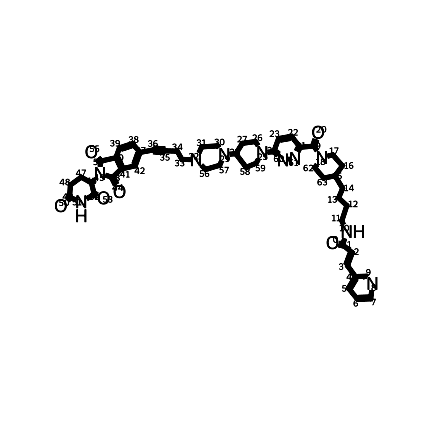 O=C(/C=C/c1cccnc1)NCCCCC1CCN(C(=O)c2ccc(N3CCC(N4CCN(CCC#Cc5ccc6c(c5)C(=O)N(C5CCC(=O)NC5=O)C6=O)CC4)CC3)nn2)CC1